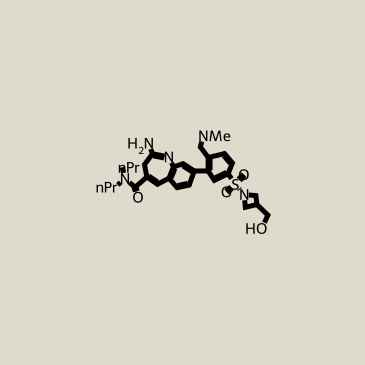 CCCN(CCC)C(=O)C1=Cc2ccc(-c3cc(S(=O)(=O)N4CC(CO)C4)ccc3CNC)cc2N=C(N)C1